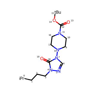 CC(C)CCCn1ncn(N2CCN(C(=O)OC(C)(C)C)CC2)c1=O